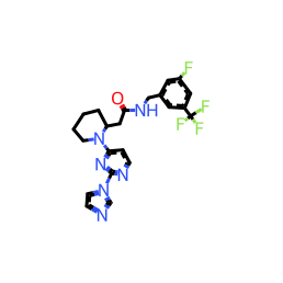 O=C(CC1CCCCN1c1ccnc(-n2ccnc2)n1)NCc1cc(F)cc(C(F)(F)F)c1